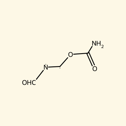 NC(=O)O[CH][N]C=O